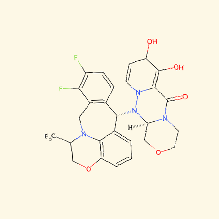 O=C1C2=C(O)C(O)C=CN2N([C@H]2c3ccc(F)c(F)c3CN3c4c(cccc42)OCC3C(F)(F)F)[C@@H]2COCCN12